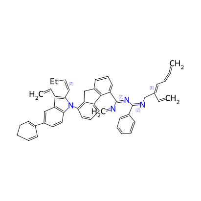 C=C=C/C=C(\C=C)C/N=C(\N=C(/N=C)c1cccc2c1-c1cccc(-n3c(/C=C\CC)c(C=C)c4cc(C5=CCCC=C5)ccc43)c1C2)c1ccccc1